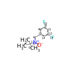 CC(C)(C)/[N+]([O-])=C/c1cc(F)cc(F)c1